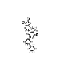 CCN1Cc2c(ccnc2NC(C)c2cc(F)c(-c3ccnc(-c4ccccc4)c3)cc2F)C1=O